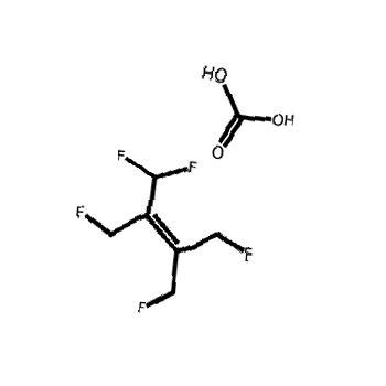 FCC(CF)=C(CF)C(F)F.O=C(O)O